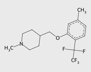 Cc1ccc(C(F)(F)C(F)(F)F)c(OCC2CCN(C)CC2)c1